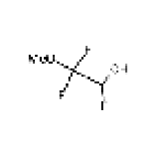 COC(F)(F)C(O)F